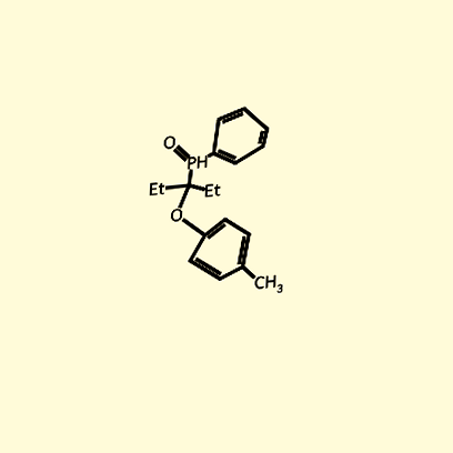 CCC(CC)(Oc1ccc(C)cc1)[PH](=O)c1ccccc1